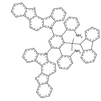 CC(C)(c1c(-c2ccccc2N)c(-n2c3ccccc3c3c4sc5ccccc5c4ccc32)cc(-n2c3ccccc3c3c4sc5ccccc5c4ccc32)c1-c1ccccc1N)C1c2ccccc2-c2ccccc21